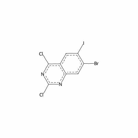 Clc1nc(Cl)c2cc(I)c(Br)cc2n1